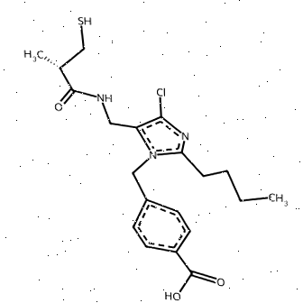 CCCCc1nc(Cl)c(CNC(=O)[C@H](C)CS)n1Cc1ccc(C(=O)O)cc1